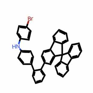 Brc1ccc(Nc2ccc(-c3ccccc3-c3ccc4c(c3)C3(c5ccccc5-c5ccccc53)c3ccccc3-4)cc2)cc1